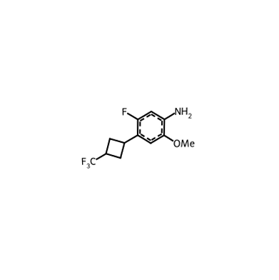 COc1cc(C2CC(C(F)(F)F)C2)c(F)cc1N